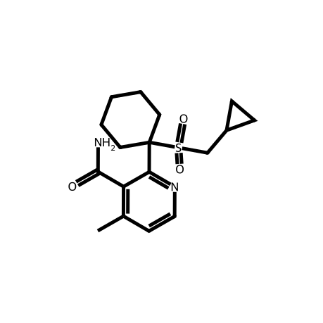 Cc1ccnc(C2(S(=O)(=O)CC3CC3)CCCCC2)c1C(N)=O